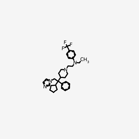 CCN(CCN1CCC(C(Cn2ccnc2)(c2ccccc2)C2CCCC2)CC1)c1ccc(C(F)(F)F)cc1